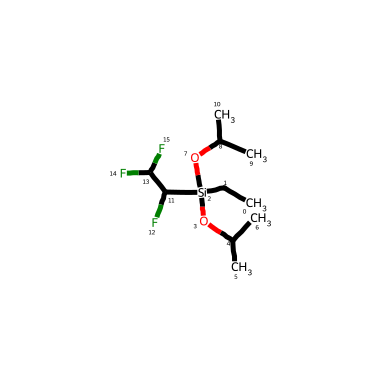 CC[Si](OC(C)C)(OC(C)C)C(F)C(F)F